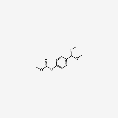 COC(=O)Oc1ccc(C(OC)OC)cc1